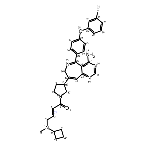 CN(C/C=C/C(=O)N1CC[C@@H](C2=Cc3ncnc(N)c3C(c3ccc(Oc4cccc(F)c4)cc3)=NC2)C1)C1CCC1